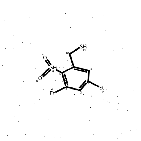 CCc1cc(CC)c([SH](=O)=O)c(CS)c1